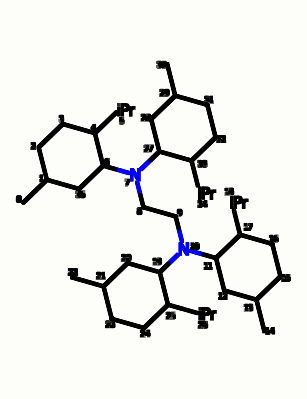 CC1CCC(C(C)C)C(N(CCN(C2CC(C)CCC2C(C)C)C2CC(C)CCC2C(C)C)C2CC(C)CCC2C(C)C)C1